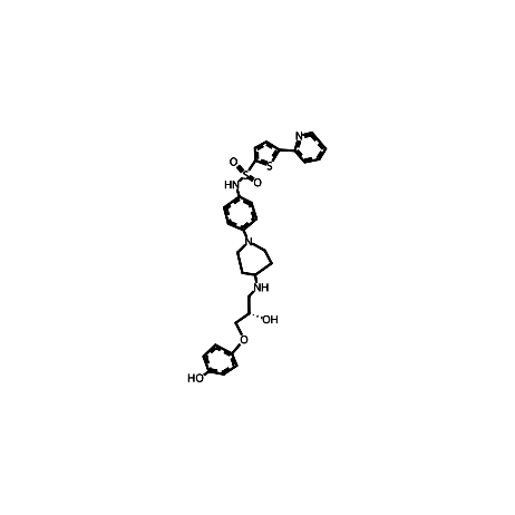 O=S(=O)(Nc1ccc(N2CCC(NC[C@H](O)COc3ccc(O)cc3)CC2)cc1)c1ccc(-c2ccccn2)s1